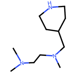 CN(C)CCN(C)CC1CCNCC1